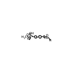 C[C@H](O)c1nccn1[C@@H](/C=C/c1ccc(-c2ccc(C3CC(C(=O)NCC#N)C3)cc2)cc1)CO